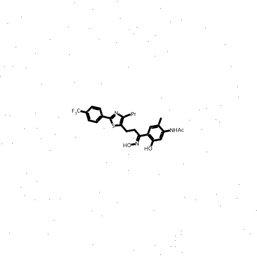 CC(=O)Nc1cc(O)c(C(CCc2sc(-c3ccc(C(F)(F)F)cc3)nc2C(C)C)=NO)cc1C